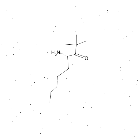 CCCCC[C@H](N)C(=O)C(C)(C)C